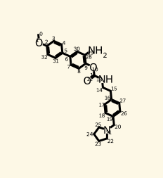 COc1ccc(-c2ccc(OC(=O)NCCc3ccc(CN4CCCC4)cc3)c(N)c2)cc1